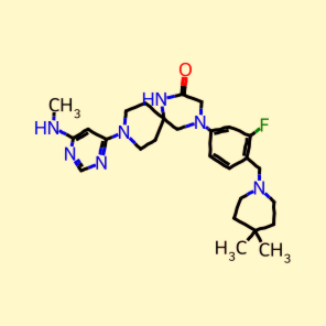 CNc1cc(N2CCC3(CC2)CN(c2ccc(CN4CCC(C)(C)CC4)c(F)c2)CC(=O)N3)ncn1